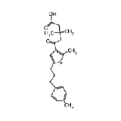 Cc1ccc(CCCc2cc(C(=O)CC(C)(C)CC(=O)O)c(C)s2)cc1